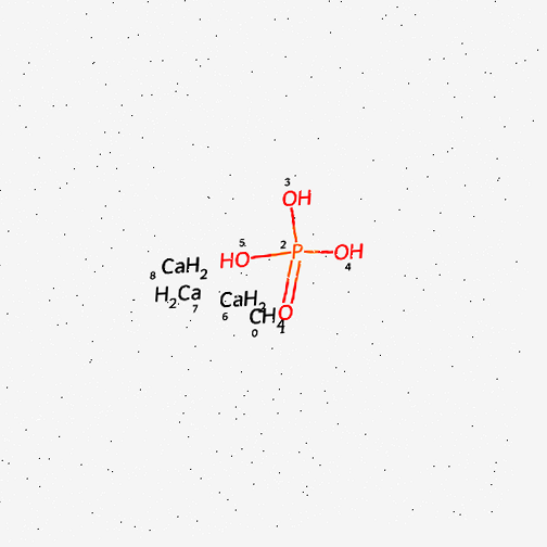 C.O=P(O)(O)O.[CaH2].[CaH2].[CaH2]